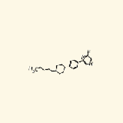 CCCCC[C@H]1CC[C@H](c2ccc(-c3cncc(F)n3)cc2)CC1